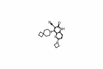 N#Cc1c(N2CCC3(CCC3)CC2)c2nc(N3CCC3)ccc2[nH]c1=O